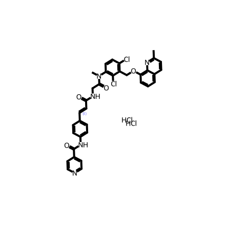 Cc1ccc2cccc(OCc3c(Cl)ccc(N(C)C(=O)CNC(=O)/C=C/c4ccc(NC(=O)c5ccncc5)cc4)c3Cl)c2n1.Cl.Cl